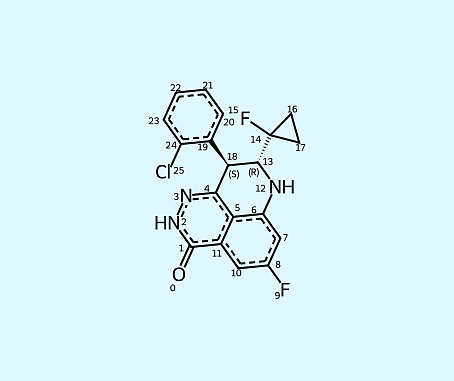 O=c1[nH]nc2c3c(cc(F)cc13)N[C@@H](C1(F)CC1)[C@@H]2c1ccccc1Cl